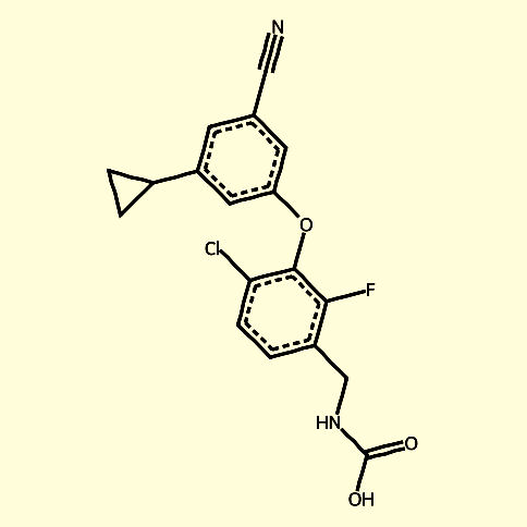 N#Cc1cc(Oc2c(Cl)ccc(CNC(=O)O)c2F)cc(C2CC2)c1